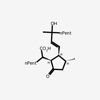 CCCCCC(C(=O)O)[C@@H]1C(=O)C[C@@H](C)[C@@H]1C=CC(C)(O)CCCCC